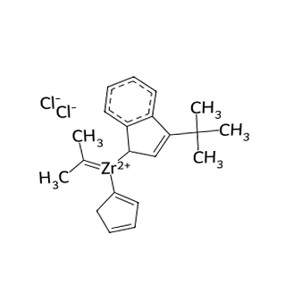 C[C](C)=[Zr+2]([C]1=CC=CC1)[CH]1C=C(C(C)(C)C)c2ccccc21.[Cl-].[Cl-]